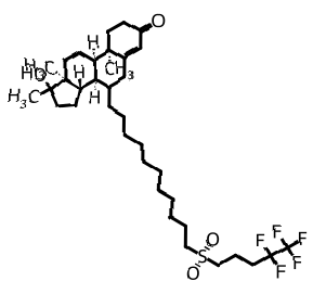 CC1(O)CC[C@H]2[C@@H]3C(CCCCCCCCCCCS(=O)(=O)CCCC(F)(F)C(F)(F)F)CC4=CC(=O)CC[C@]4(C)[C@@H]3CC[C@@]21C